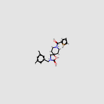 Cc1cc(C)cc(CN2CC3(CCN(C(=O)c4cccs4)CC3)OC2=O)c1